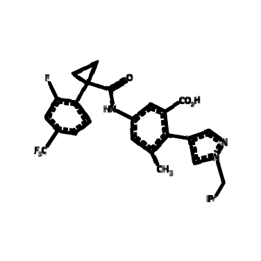 Cc1cc(NC(=O)C2(c3ccc(C(F)(F)F)cc3F)CC2)cc(C(=O)O)c1-c1cnn(CC(C)C)c1